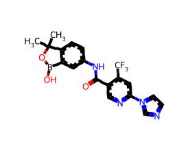 CC1(C)OB(O)c2cc(NC(=O)c3cnc(-n4ccnc4)cc3C(F)(F)F)ccc21